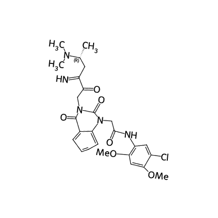 COc1cc(OC)c(NC(=O)Cn2c(=O)n(CC(=O)C(=N)C[C@@H](C)N(C)C)c(=O)c3ccccc32)cc1Cl